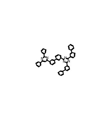 c1ccc(-c2cccc(-c3nc(-c4cccc(-c5ccccc5)c4)nc(-c4cccc(-c5cccc(-c6cc(-c7ccccc7)nc(-c7ccccc7)n6)c5)c4)n3)c2)cc1